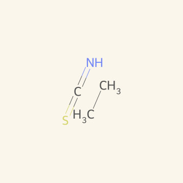 CC.N=C=S